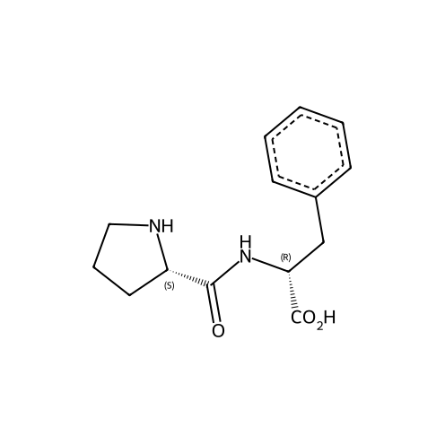 O=C(N[C@H](Cc1ccccc1)C(=O)O)[C@@H]1CCCN1